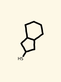 SC1CC2CCCCC2C1